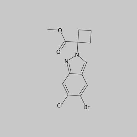 COC(=O)C1(n2cc3cc(Br)c(Cl)cc3n2)CCC1